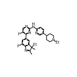 CCN1CCC(c2ccc(Nc3ncc(F)c(-c4cc(F)c5c(c4)C(C)(CC)C(C)=N5)n3)nc2)CC1